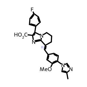 COc1cc(/C=C2\CCCn3c2nc(C(=O)O)c3-c2ccc(F)cc2)ccc1-n1cnc(C)c1